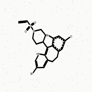 C=CS(=O)(=O)N1CCC(C2=C3NC=C(Br)C=C3CCc3cc(Cl)cc(Br)c32)CC1